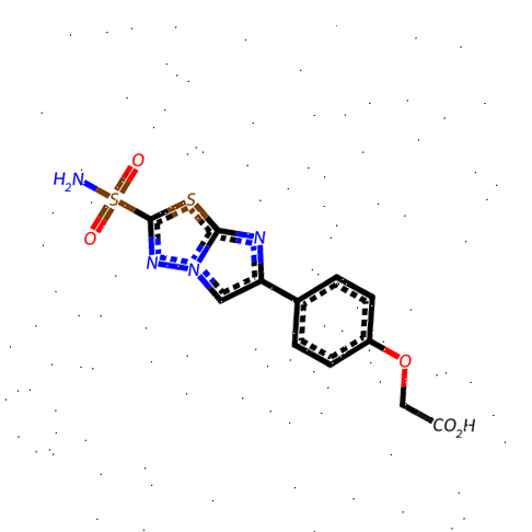 NS(=O)(=O)c1nn2cc(-c3ccc(OCC(=O)O)cc3)nc2s1